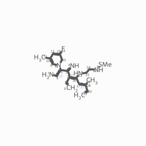 C=C/C(C(=N)/C(=C/N)N1C=C(C)C=C(F)C1)=C(\C=C(/C)C=C)NCCNSC